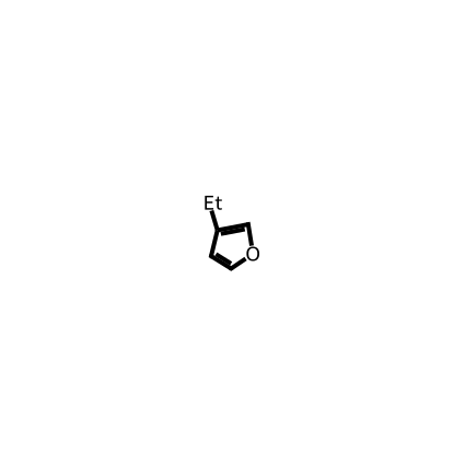 [CH2]Cc1ccoc1